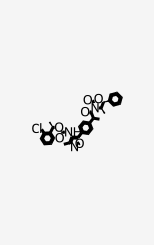 Cc1noc(-c2ccc(C(C)C(=O)N3C(=O)O[C@@H](c4ccccc4)[C@H]3C)cc2)c1NC(=O)O[C@H](C)c1ccccc1Cl